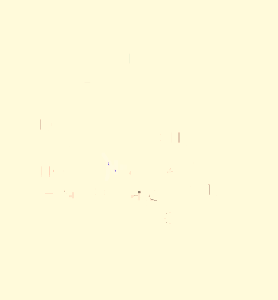 CC(O)CN(O[SiH3])[C@](c1ccccc1)(c1cc(F)c(F)c(F)c1)[C@@](C)(c1ccccc1)C(C)(C)C